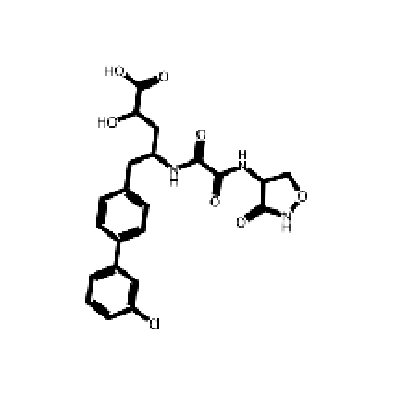 O=C(NC(Cc1ccc(-c2cccc(Cl)c2)cc1)CC(O)C(=O)O)C(=O)NC1CONC1=O